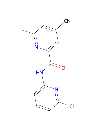 Cc1cc(C#N)cc(C(=O)Nc2cccc(Cl)n2)n1